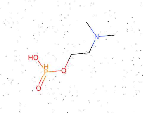 CN(C)CCO[PH](=O)O